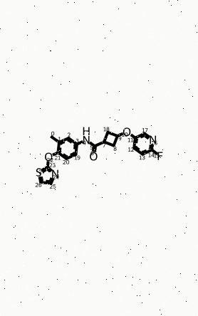 Cc1cc(NC(=O)C2CC(Oc3ccc(F)nc3)C2)ccc1Oc1nccs1